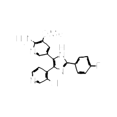 COc1cc(-c2[nH]c(-c3ccc(F)cc3)nc2-c2ccncc2Cl)cnc1N